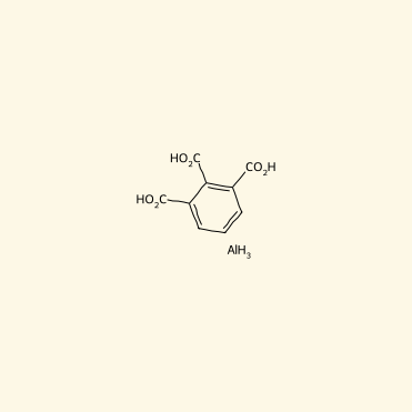 O=C(O)c1cccc(C(=O)O)c1C(=O)O.[AlH3]